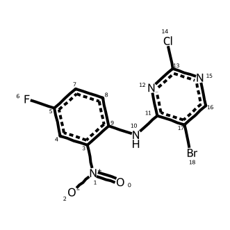 O=[N+]([O-])c1cc(F)ccc1Nc1nc(Cl)ncc1Br